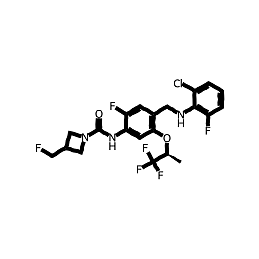 C[C@H](Oc1cc(NC(=O)N2CC(CF)C2)c(F)cc1CNc1c(F)cccc1Cl)C(F)(F)F